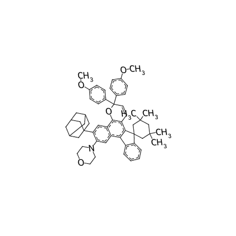 COc1ccc(C2(c3ccc(OC)cc3)C=Cc3c4c(c5cc(N6CCOCC6)c(C67CC8CC(CC(C8)C6)C7)cc5c3O2)-c2ccccc2C42CC(C)(C)CC(C)(C)C2)cc1